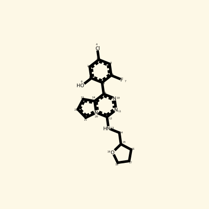 Oc1cc(Cl)cc(F)c1-c1nnc(NCC2CCCO2)n2cccc12